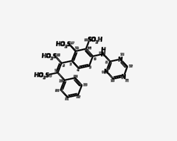 O=S(=O)(O)C(=C(c1ccc(Nc2ncncn2)c(S(=O)(=O)O)c1S(=O)(=O)O)S(=O)(=O)O)c1ccccc1